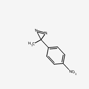 CC1(c2ccc([N+](=O)[O-])cc2)N=N1